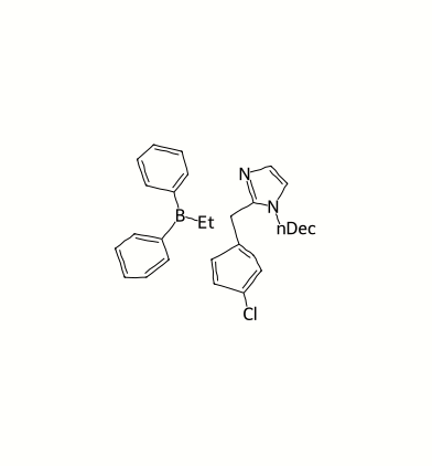 CCB(c1ccccc1)c1ccccc1.CCCCCCCCCCn1ccnc1Cc1ccc(Cl)cc1